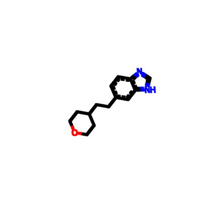 c1nc2ccc(CCC3CCOCC3)cc2[nH]1